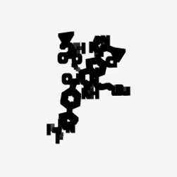 CC(C)(C)CCNC(=N)N(C(=O)c1ccc(-c2cnn(C(F)F)c2)cc1)[C@H](COC(=O)NC1(C)CC1)c1ccc(Cl)c(-n2ncnc2C2CC2)c1